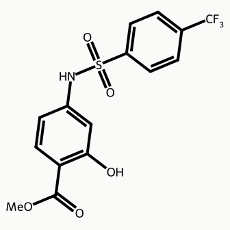 COC(=O)c1ccc(NS(=O)(=O)c2ccc(C(F)(F)F)cc2)cc1O